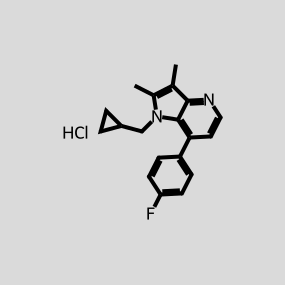 Cc1c(C)n(CC2CC2)c2c(-c3ccc(F)cc3)ccnc12.Cl